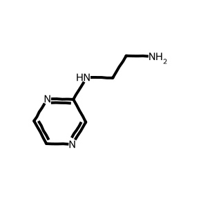 NCCNc1cnccn1